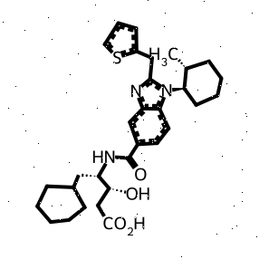 C[C@@H]1CCCC[C@H]1n1c(Cc2cccs2)nc2cc(C(=O)N[C@@H](CC3CCCCC3)[C@H](O)CC(=O)O)ccc21